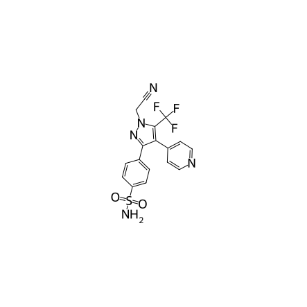 N#CCn1nc(-c2ccc(S(N)(=O)=O)cc2)c(-c2ccncc2)c1C(F)(F)F